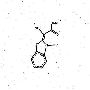 CCN1/C(=C(/C#N)C(=O)OC)Sc2ccccc21